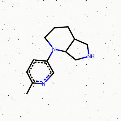 Cc1ccc(N2CCCC3CNCC32)cn1